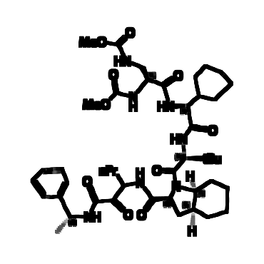 CCCC(NC(=O)[C@@H]1C[C@@H]2CCCC[C@@H]2N1C(=O)[C@@H](NC(=O)[C@@H](NC(=O)[C@H](CNC(=O)OC)NC(=O)OC)C1CCCCC1)C(C)(C)C)C(=O)C(=O)N[C@H](C)c1ccccc1